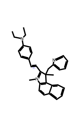 CCN(CC)c1ccc(/C=C/C2=[N+](C)c3ccc4ccccc4c3C2(C)Cc2ccccn2)cc1